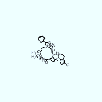 CO[C@@]1(CC(=O)c2ccccn2)/C=C/C[C@H](C)[C@@H](C)S(=O)(=O)NC(=O)c2ccc3c(c2)N(C[C@H]2CCCc4cc(Cl)ccc4C2O3)C[C@@H]2CC[C@H]21